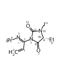 C=C/C(=N\C(C)C)N1C(=O)[C@@H](CC)N(I)C1=O